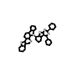 c1ccc(-c2nc(-c3ccccc3)c3c(n2)oc2c(-n4c5ccccc5c5ccc6c(ncc7c8ccccc8sc76)c54)cccc23)cc1